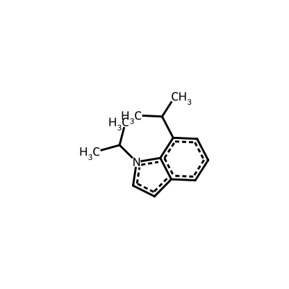 CC(C)c1cccc2ccn(C(C)C)c12